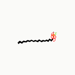 CCCCCCCCCCCCCCCCCCCC(=O)OP(=O)(F)OC